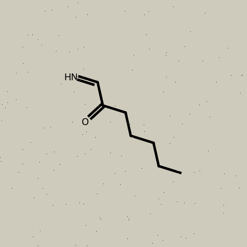 CCCCCC(=O)C=N